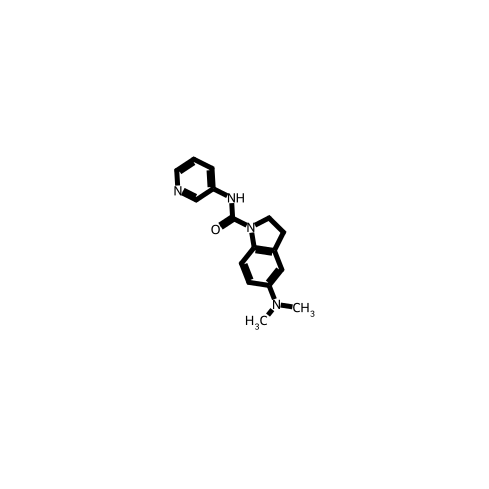 CN(C)c1ccc2c(c1)CCN2C(=O)Nc1cccnc1